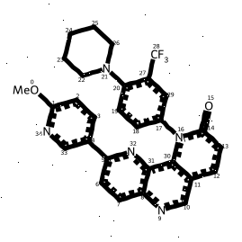 COc1ccc(-c2ccc3ncc4ccc(=O)n(-c5ccc(N6CCCCC6)c(C(F)(F)F)c5)c4c3n2)cn1